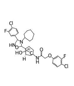 O=C(COc1ccc(Cl)c(F)c1)NC12CCC(C3ONC(c4ccc(Cl)c(F)c4)N3C3CCCCCC3)(CC1)[C@H](O)C2